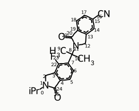 CC(C)N1Cc2c(ccc(C(C)(C)N3Cc4cc(C#N)ccc4C3=O)c2F)C1=O